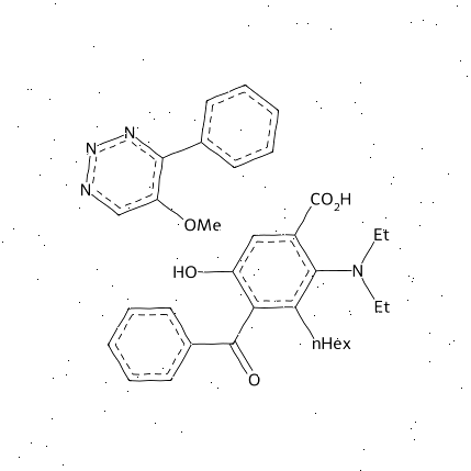 CCCCCCc1c(C(=O)c2ccccc2)c(O)cc(C(=O)O)c1N(CC)CC.COc1cnnnc1-c1ccccc1